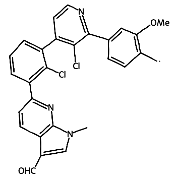 [CH2]c1ccc(-c2nccc(-c3cccc(-c4ccc5c(C=O)cn(C)c5n4)c3Cl)c2Cl)cc1OC